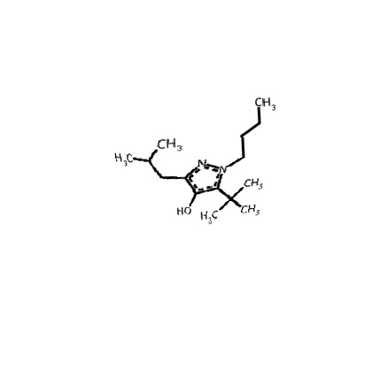 CCCCn1nc(CC(C)C)c(O)c1C(C)(C)C